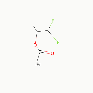 CC(C)C(=O)OC(C)C(F)F